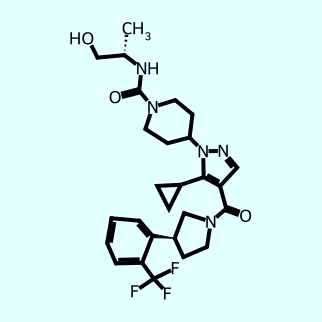 C[C@@H](CO)NC(=O)N1CCC(n2ncc(C(=O)N3CC[C@@H](c4ccccc4C(F)(F)F)C3)c2C2CC2)CC1